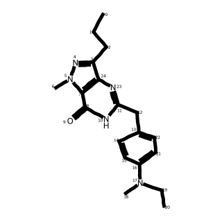 CCCc1nn(C)c2c(=O)[nH]c(Cc3ccc(N(C)CC)cc3)nc12